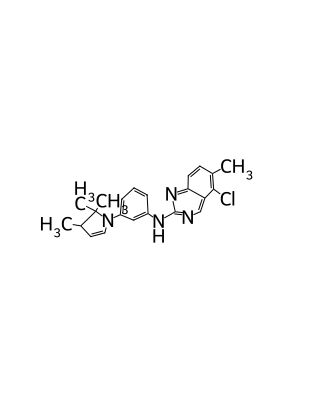 Cc1ccc2nc(Nc3cccc(N4C=CC(C)C4(C)C)c3)ncc2c1Cl